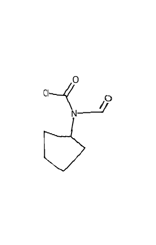 O=CN(C(=O)Cl)C1CCCC1